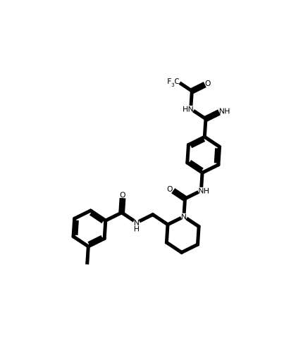 Cc1cccc(C(=O)NCC2CCCCN2C(=O)Nc2ccc(C(=N)NC(=O)C(F)(F)F)cc2)c1